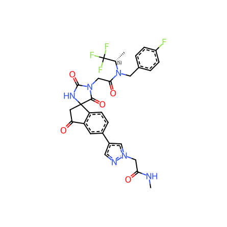 CNC(=O)Cn1cc(-c2ccc3c(c2)C(=O)CC32NC(=O)N(CC(=O)N(Cc3ccc(F)cc3)[C@@H](C)C(F)(F)F)C2=O)cn1